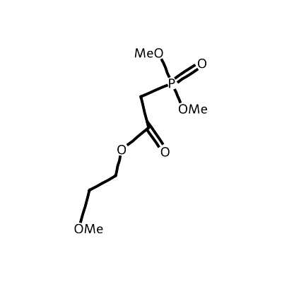 COCCOC(=O)CP(=O)(OC)OC